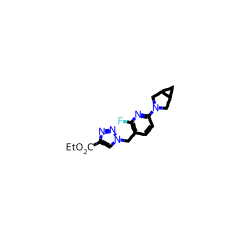 CCOC(=O)c1cn(Cc2ccc(N3CC4CC4C3)nc2F)nn1